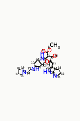 CCOC(=O)C1=C(Nc2ccc(NCCN3CCCC3)cc2C)O/C(=C\c2c[nH]c3ncccc23)C1=O